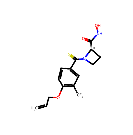 C=CCOc1ccc(C(=S)N2CC[C@@H]2C(=O)NO)cc1C(F)(F)F